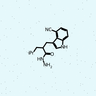 C[C](C)CC(Cc1c[nH]c2cccc(C#N)c12)C(=O)NN